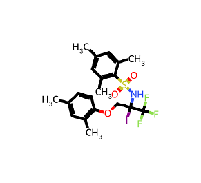 Cc1ccc(OCC(I)(NS(=O)(=O)c2c(C)cc(C)cc2C)C(F)(F)F)c(C)c1